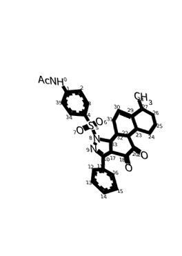 CC(=O)Nc1ccc(S(=O)(=O)N2N=C(c3ccccc3)C3C(=O)C(=O)C4C5CCCC(C)C5=CCC4C32)cc1